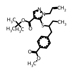 C=CCn1ncc(C(=O)OC(C)(C)C)c1SC(CC)Cc1ccc(C(=O)OC)cc1